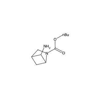 CCCCOC(=O)N1CC2CC1C2N